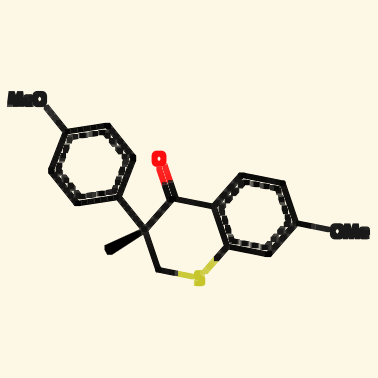 COc1ccc([C@@]2(C)CSc3cc(OC)ccc3C2=O)cc1